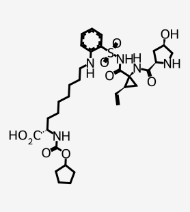 C=C[C@@H]1C[C@@]1(NC(=O)[C@H]1C[C@@H](O)CN1)C(=O)NS(=O)(=O)c1ccccc1NCCCCCCC[C@H](NC(=O)OC1CCCC1)C(=O)O